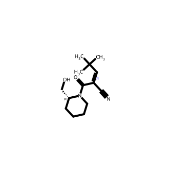 CC(C)(C)/C=C(/C#N)C(=O)N1CCCC[C@@H]1CO